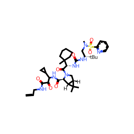 C=CCNC(=O)C(=O)C(NC(=O)[C@@H]1[C@@H]2[C@H](CN1C(=O)[C@@H](NC(=O)N[C@H](CN(C)S(=O)(=O)c1ccccn1)C(C)(C)C)C1(C)CCCCC1)C2(C)C)C1CC1